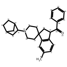 Cc1ccc2c(c1)C1(CCN(C3CC4CCC3C4)CC1)CC2C(=O)c1ccccc1